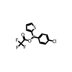 O=C(O[I+](c1ccc(Cl)cc1)c1cccs1)C(F)(F)F